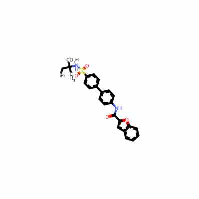 CC(C)CC(C)(NS(=O)(=O)c1ccc(-c2ccc(NC(=O)c3cc4ccccc4o3)cc2)cc1)C(=O)O